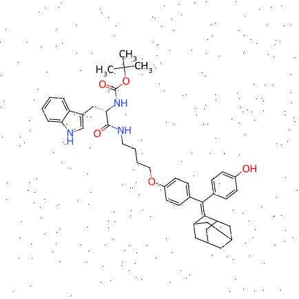 CC(C)(C)OC(=O)N[C@@H](Cc1c[nH]c2ccccc12)C(=O)NCCCCOc1ccc(C(=C2C3CC4CC(C3)CC2C4)c2ccc(O)cc2)cc1